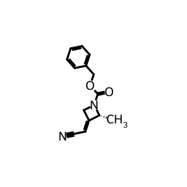 C[C@@H]1/C(=C/C#N)CN1C(=O)OCc1ccccc1